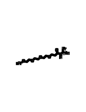 CCCOCCOCCOCCOCCC(=O)N[C@H](C(C)=O)C(C)C